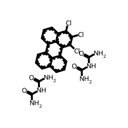 Clc1c(Cl)c2cccc3c4cccc5cccc(c(c1Cl)c23)c54.NC(=O)NC(N)=O.NC(=O)NC(N)=O